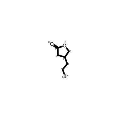 O=C1CC(CCBr)CO1